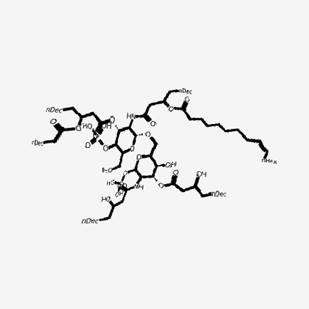 CCCCCC/C=C\CCCCCCCC(=O)OC(CCCCCCCCCCC)CC(=O)NC1[C@H](OCC2OC(OP(=O)(O)O)C(NC(=O)CC(O)CCCCCCCCCCC)[C@@H](OC(=O)CC(O)CCCCCCCCCCC)[C@@H]2O)OC(CO)C(OP(=O)(O)O)[C@@H]1OC(=O)CC(CCCCCCCCCCC)OC(=O)CCCCCCCCCCC